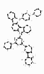 c1ccc(-c2ccc(-n3c4ccccc4c4ccc5c(c6ccccc6n5-c5nc(-c6ccccc6)nc(-c6ccc7oc8ccccc8c7c6)n5)c43)cc2)cc1